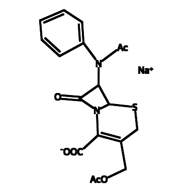 CC(=O)OCC1=C(C(=O)[O-])N2C(=O)C(N(C(C)=O)c3ccccc3)C2SC1.[Na+]